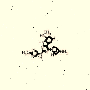 CNc1cc(F)cc2c1[nH]c1nc(Nc3cnc(C)nc3)nc(N3CC4C[C@@H]3C[C@H]4N)c12